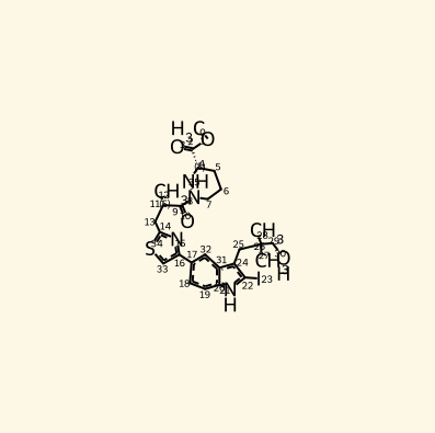 COC(=O)[C@@H]1CCCN(C(=O)[C@@H](C)Cc2nc(-c3ccc4[nH]c(I)c(CC(C)(C)CO)c4c3)cs2)N1